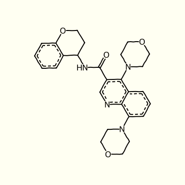 O=C(NC1CCOc2ccccc21)c1cnc2c(N3CCOCC3)cccc2c1N1CCOCC1